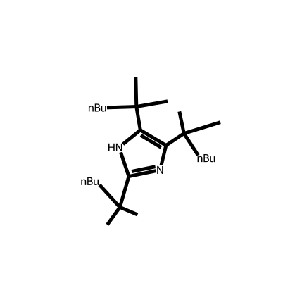 CCCCC(C)(C)c1nc(C(C)(C)CCCC)c(C(C)(C)CCCC)[nH]1